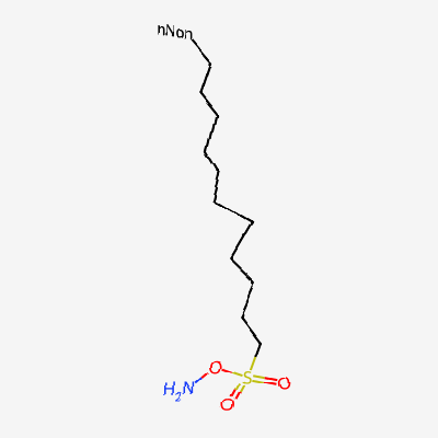 CCCCCCCCCCCCCCCCCCCCS(=O)(=O)ON